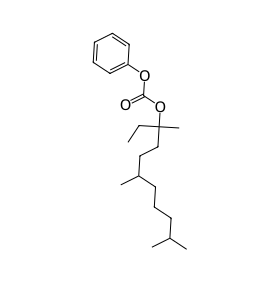 CCC(C)(CCC(C)CCCC(C)C)OC(=O)Oc1ccccc1